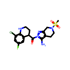 CS(=O)(=O)N1CCc2c(nn(C(=O)C3CCNc4c(Cl)cc(F)cc43)c2N)C1